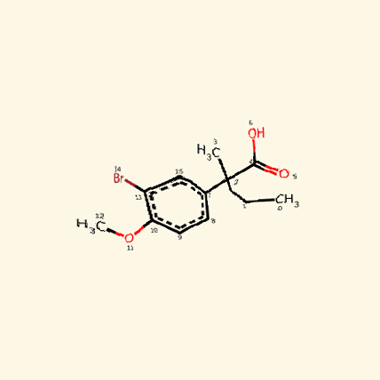 CCC(C)(C(=O)O)c1ccc(OC)c(Br)c1